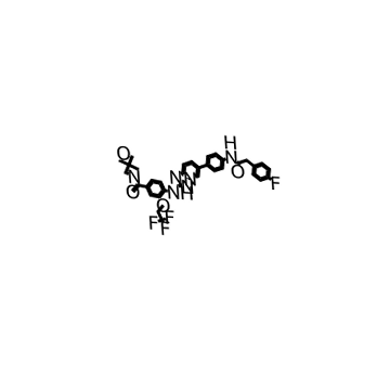 O=C(Cc1ccc(F)cc1)Nc1ccc(-c2ccc3nc(Nc4ccc(C(=O)N5CC6(COC6)C5)cc4OCC(F)(F)F)nn3c2)cc1